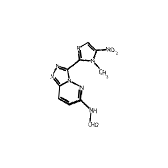 Cn1c([N+](=O)[O-])cnc1-c1nnc2ccc(NC=O)nn12